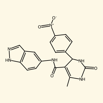 CC1=C(C(=O)Nc2ccc3[nH]ncc3c2)C(c2ccc([N+](=O)[O-])cc2)NC(=O)N1